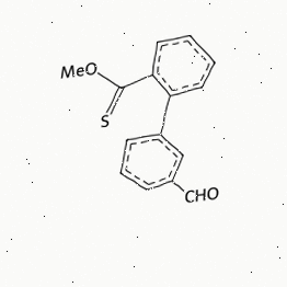 COC(=S)c1ccccc1-c1cccc(C=O)c1